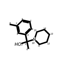 [CH2]C(O)(c1cccc(C)c1)N1CCCCC1